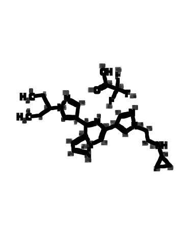 CCC(CC)n1cc(-c2nc(-c3cnn(CCNC4CC4)c3)cn3nccc23)cn1.O=C(O)C(F)(F)F